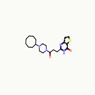 O=C(CCc1nc2ccsc2c(=O)[nH]1)N1CCN(C2CCCCCCC2)CC1